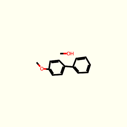 CO.COc1ccc(-c2ccccc2)cc1